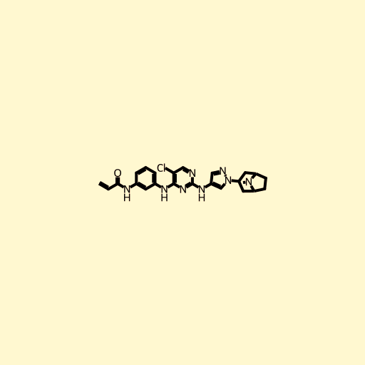 C=CC(=O)Nc1cccc(Nc2nc(Nc3cnn(C4CC5CCC(C4)N5C)c3)ncc2Cl)c1